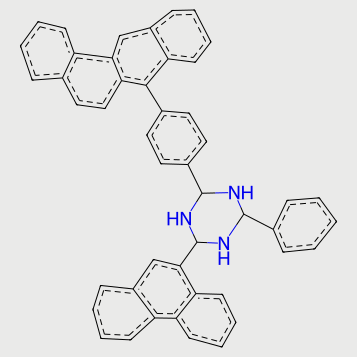 c1ccc(C2NC(c3ccc(-c4c5ccccc5cc5c4ccc4ccccc45)cc3)NC(c3cc4ccccc4c4ccccc34)N2)cc1